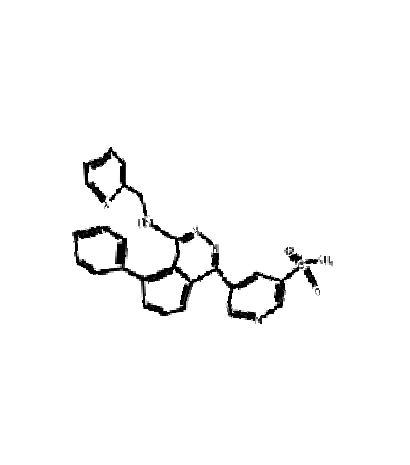 CS(=O)(=O)c1cncc(-c2nnc(NCc3ccccn3)c3c(-c4ccccc4)cccc23)c1